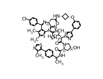 Cc1ncsc1-c1ccc([C@H](C)NC(=O)[C@@H]2C[C@@H](O)CN2C(=O)[C@@H](C(C)C)n2cc(-c3cccc(O[C@H]4C[C@@H](NC(=O)C[C@@H]5N=C(c6ccc(Cl)cc6)c6c(sc(C)c6C)-n6c(C)nnc65)C4)c3)cn2)cc1